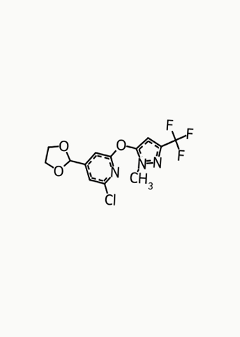 Cn1nc(C(F)(F)F)cc1Oc1cc(C2OCCO2)cc(Cl)n1